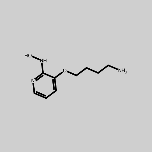 NCCCCOc1cccnc1NO